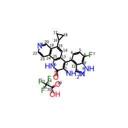 Nc1c(-c2ccc(F)c3[nH]ncc23)c2cc(C3CC3)c3cnccc3c2[nH]c1=O.O=C(O)C(F)(F)F